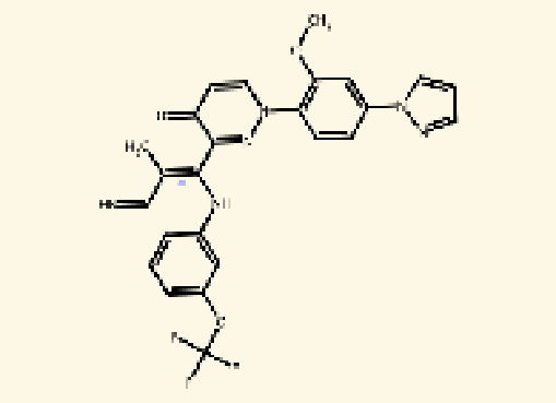 COc1cc(-n2cccn2)ccc1-n1ccc(=O)c(/C(Nc2cccc(OC(F)(F)F)c2)=C(\C)C=N)n1